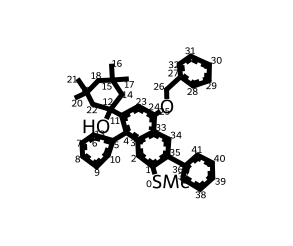 CSc1cc2c(-c3ccccc3)c(C3(O)CC(C)(C)CC(C)(C)C3)cc(OCc3ccccc3)c2cc1-c1ccccc1